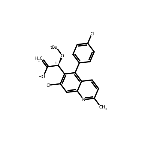 C=C(O)[C@@H](OC(C)(C)C)c1c(Cl)cc2nc(C)ccc2c1-c1ccc(Cl)cc1